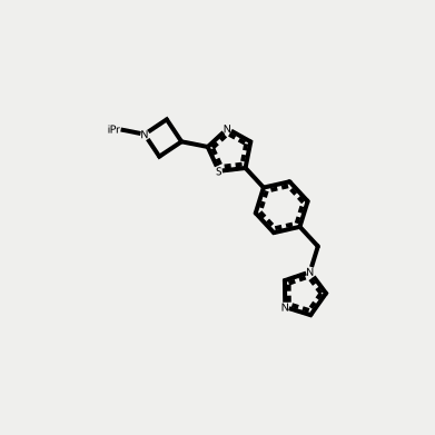 CC(C)N1CC(c2ncc(-c3ccc(Cn4ccnc4)cc3)s2)C1